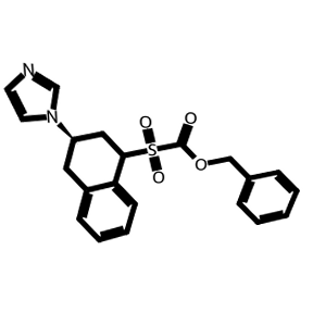 O=C(OCc1ccccc1)S(=O)(=O)C1C[C@H](n2ccnc2)Cc2ccccc21